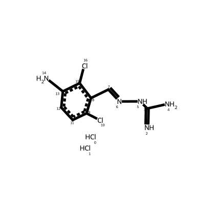 Cl.Cl.N=C(N)NN=Cc1c(Cl)ccc(N)c1Cl